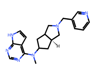 CN(c1ncnc2[nH]ccc12)C1CC2CN(Cc3cccnc3)C[C@H]2C1